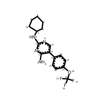 Nc1nc(NC2CCCCC2)ncc1-c1ccc(OC(F)(F)F)cc1